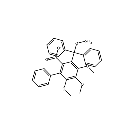 COc1c(OC)c(-c2ccccc2)c([N+](=O)[O-])c(C(O[SiH3])(c2ccccc2)c2ccccc2)c1OC